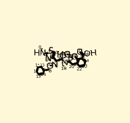 CNc1nc(C(=NOCc2ccccc2)C(=O)N(C)C2Cc3cccc(C(=O)O)c3OB2O)cs1